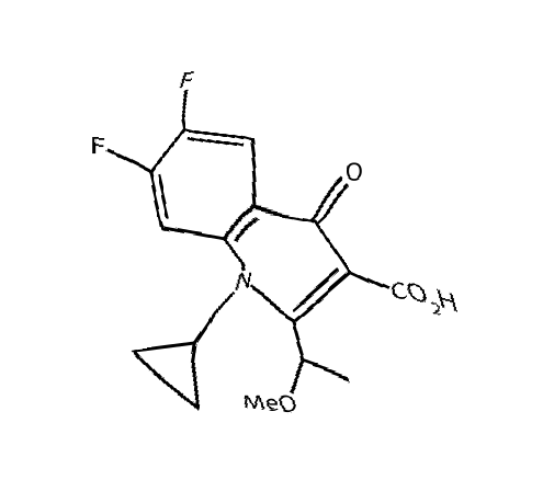 COC(C)c1c(C(=O)O)c(=O)c2cc(F)c(F)cc2n1C1CC1